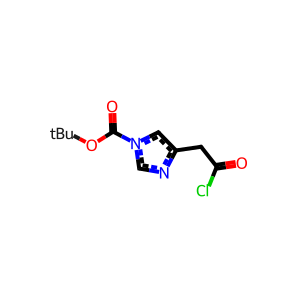 CC(C)(C)OC(=O)n1cnc(CC(=O)Cl)c1